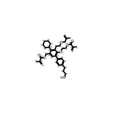 C=C(C)COCCc1c(OCCOC(=O)C(=C)C)c(-c2ccc(CCCO)cc2)cc(COC(=O)C(=C)C)c1C1CCCCC1